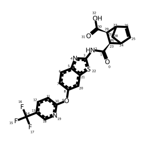 O=C(Nc1nc2ccc(Oc3ccc(C(F)(F)F)cn3)cc2s1)[C@@H]1C2C=CC(C2)[C@@H]1C(=O)O